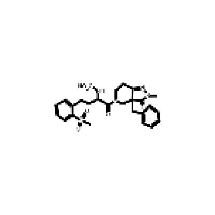 CN1N=C2CCN(C(=O)C(CCc3ccccc3S(C)(=O)=O)NC(=O)O)C[C@@]2(Cc2ccccc2)C1=O